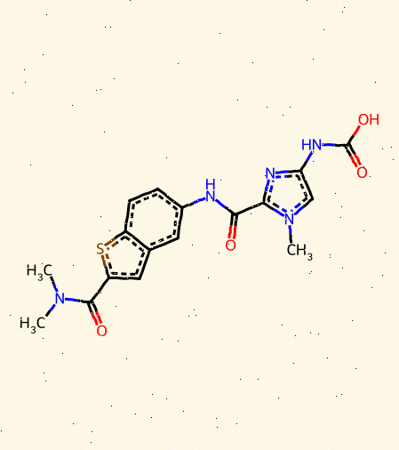 CN(C)C(=O)c1cc2cc(NC(=O)c3nc(NC(=O)O)cn3C)ccc2s1